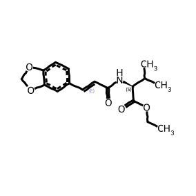 CCOC(=O)[C@@H](NC(=O)/C=C/c1ccc2c(c1)OCO2)C(C)C